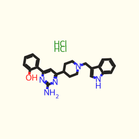 Cl.Cl.Nc1nc(-c2ccccc2O)cc(C2CCN(Cc3c[nH]c4ccccc34)CC2)n1